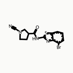 N#CN1CCC(C(=O)Nc2nc3c(Br)cccc3s2)C1